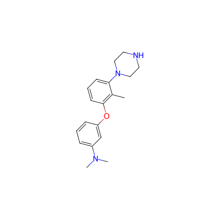 Cc1c(Oc2cccc(N(C)C)c2)cccc1N1CCNCC1